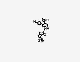 N#Cc1ccc(-c2nc(NCCNC(=O)c3cccc([N+](=O)[O-])c3)ncc2-c2cnc[nH]2)cc1